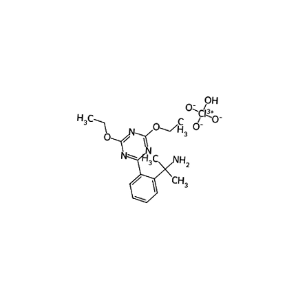 CCOc1nc(OCC)nc(-c2ccccc2C(C)(C)N)n1.[O-][Cl+3]([O-])([O-])O